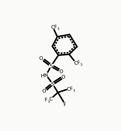 O=S(=O)(NS(=O)(=O)C(F)(C(F)(F)F)C(F)(F)F)c1cc(C(F)(F)F)ccc1C(F)(F)F